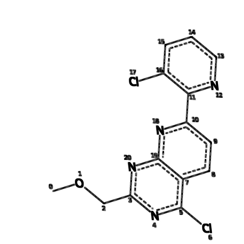 COCc1nc(Cl)c2ccc(-c3ncccc3Cl)nc2n1